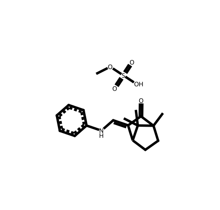 CC12CCC(C(=CNc3ccccc3)C1=O)C2(C)C.COS(=O)(=O)O